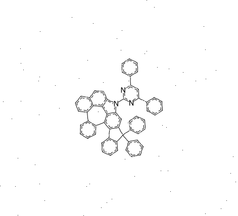 c1ccc(-c2cc(-c3ccccc3)nc(-n3c4cc5c(c6c4c4c7c(cccc7ccc43)-c3ccccc3-6)-c3ccccc3C5(c3ccccc3)c3ccccc3)n2)cc1